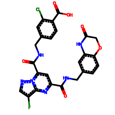 O=C1COc2ccc(CNC(=O)c3cc(C(=O)NCc4ccc(C(=O)O)c(Cl)c4)n4ncc(F)c4n3)cc2N1